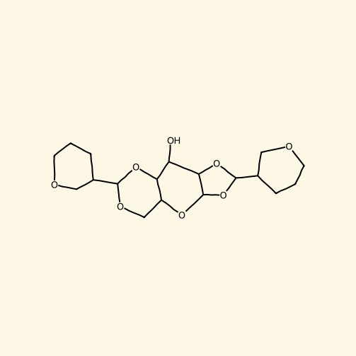 OC1C2OC(C3CCCOC3)OCC2OC2OC(C3CCCOC3)OC21